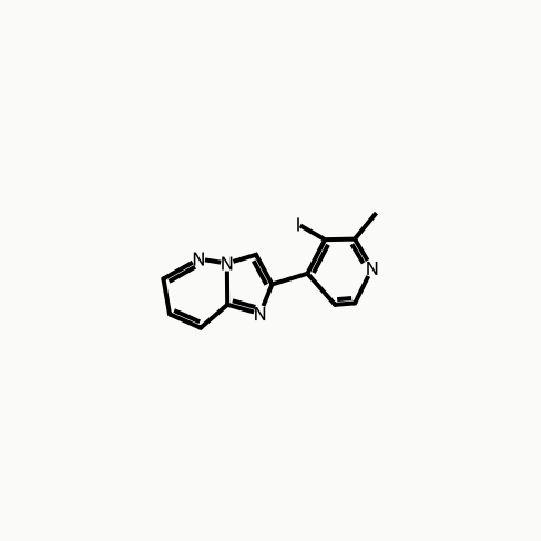 Cc1nccc(-c2cn3ncccc3n2)c1I